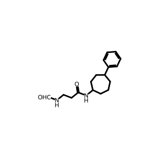 O=CNCCC(=O)NC1CCCC(c2ccccc2)CC1